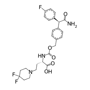 NC(=O)[C@H](c1ccc(F)cc1)c1ccc(COC(=O)N[C@@H](CCN2CCC(F)(F)CC2)C(=O)O)cc1